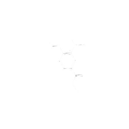 COC(=O)c1ccc(OC)c(B(O)O)c1